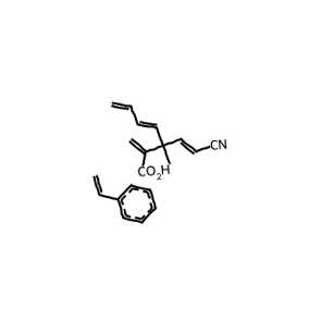 C=CC=CC(C)(C=CC#N)C(=C)C(=O)O.C=Cc1ccccc1